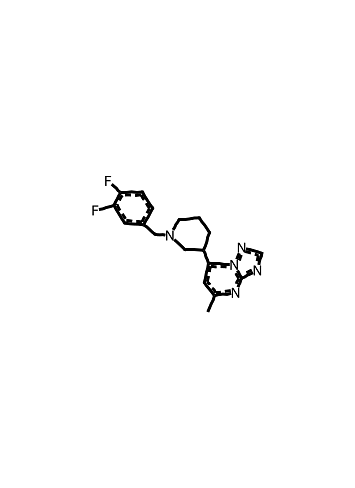 Cc1cc(C2CCCN(Cc3ccc(F)c(F)c3)C2)n2ncnc2n1